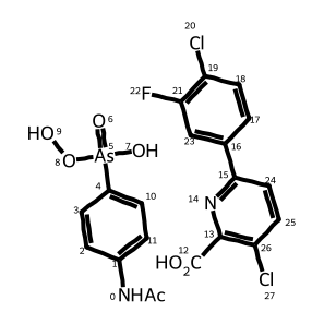 CC(=O)Nc1ccc([As](=O)(O)OO)cc1.O=C(O)c1nc(-c2ccc(Cl)c(F)c2)ccc1Cl